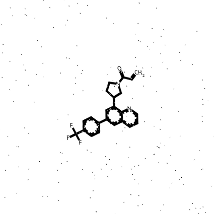 C=CC(=O)N1CCC(c2cc(-c3ccc(C(F)(F)F)cc3)cc3cccnc23)C1